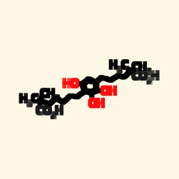 CC(C)(CCCCCc1c(O)cc(CCCCC(C)(C)C(=O)O)c(O)c1O)C(=O)O